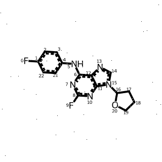 Fc1ccc(Nc2nc(F)nc3c2ncn3C2CCCO2)cc1